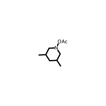 CC(=O)ON1CC(C)CC(C)C1